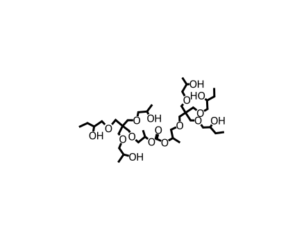 CCC(O)COCC(COCC(C)O)(COCC(C)O)COCC(C)OC(=O)OC(C)COCC(COCC(C)O)(COCC(O)CC)COCC(O)CC